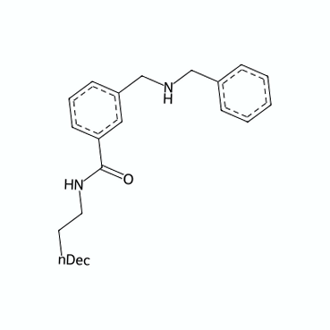 CCCCCCCCCCCCNC(=O)c1cccc(CNCc2ccccc2)c1